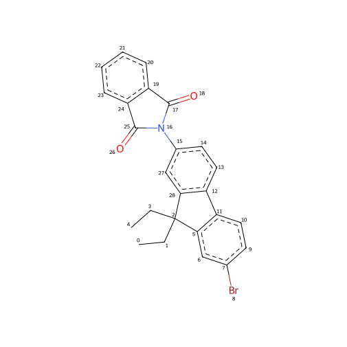 CCC1(CC)c2cc(Br)ccc2-c2ccc(N3C(=O)c4ccccc4C3=O)cc21